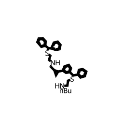 CCCCNCCSC(c1ccccc1)c1cccc(C2CC2CNCCSC(c2ccccc2)c2ccccc2)c1